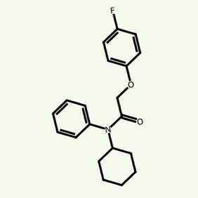 O=C(COc1ccc(F)cc1)N(c1ccccc1)C1CCCCC1